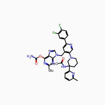 COC(=O)NC1(c2cccc(C)n2)CCCN(c2cnc(-c3ccc(F)c(F)c3)cc2Cn2cnc3c(OC(N)=O)nc(C(C)(C)C)nc32)C1